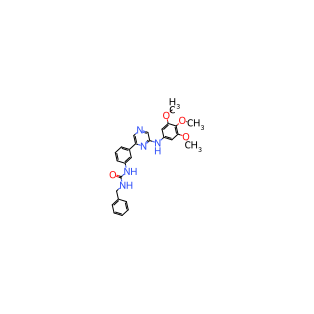 COc1cc(Nc2cncc(-c3cccc(NC(=O)NCc4ccccc4)c3)n2)cc(OC)c1OC